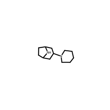 C1CCN(C2CC3CCC(C2)N3)CC1